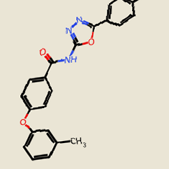 Cc1cccc(Oc2ccc(C(=O)Nc3nnc(-c4ccc(F)cc4)o3)cc2)c1